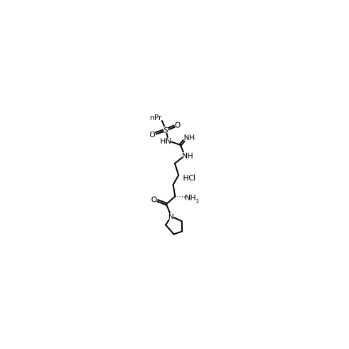 CCCS(=O)(=O)NC(=N)NCCC[C@H](N)C(=O)N1CCCC1.Cl